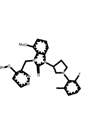 COc1cccc2c1n(Cc1nnccc1OC(C)C)c(=O)n2C1CCN(c2c(C)cccc2F)C1